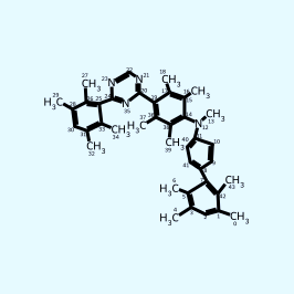 Cc1cc(C)c(C)c(-c2ccc(N(C)c3c(C)c(C)c(-c4ncnc(-c5c(C)c(C)cc(C)c5C)n4)c(C)c3C)cc2)c1C